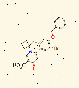 O=C(O)c1cn2c(cc1=O)-c1cc(Br)c(OCc3ccccc3)cc1CC21CCC1